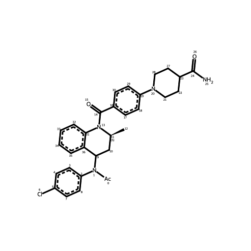 CC(=O)N(c1ccc(Cl)cc1)C1C[C@H](C)N(C(=O)c2ccc(N3CCC(C(N)=O)CC3)cc2)c2ccccc21